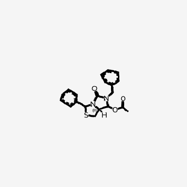 CC(=O)OC1[C@@H]2CSC(c3ccccc3)N2C(=O)N1Cc1ccccc1